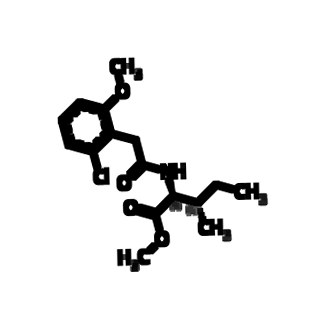 CC[C@H](C)[C@H](NC(=O)Cc1c(Cl)cccc1OC)C(=O)OC